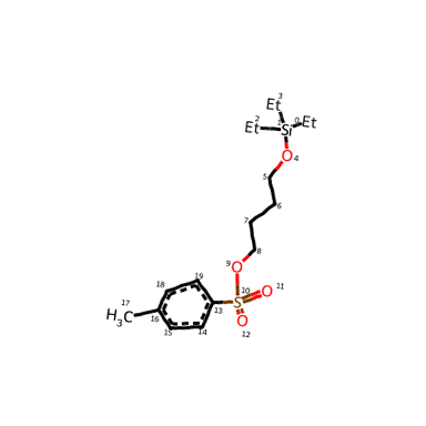 CC[Si](CC)(CC)OCCCCOS(=O)(=O)c1ccc(C)cc1